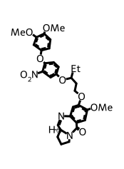 CCC(CCOc1cc2c(cc1OC)C(=O)N1CCC[C@H]1C=N2)Oc1ccc(Oc2ccc(OC)c(OC)c2)c([N+](=O)[O-])c1